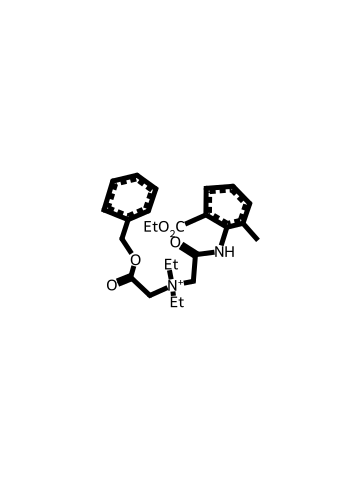 CCOC(=O)c1cccc(C)c1NC(=O)C[N+](CC)(CC)CC(=O)OCc1ccccc1